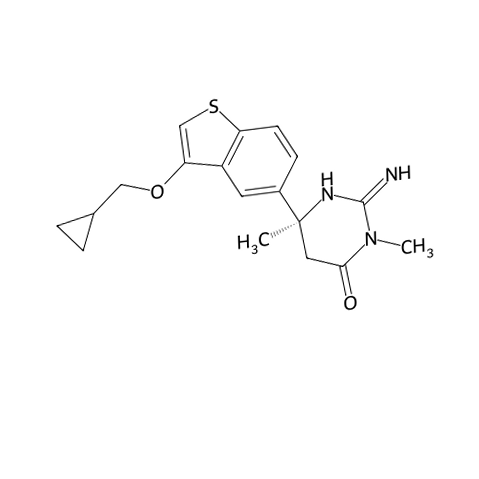 CN1C(=N)N[C@](C)(c2ccc3scc(OCC4CC4)c3c2)CC1=O